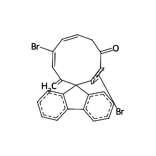 C=C1/C=C(Br)\C=C/CC(=O)c2ccc(Br)cc2C12c1ccccc1-c1ccccc12